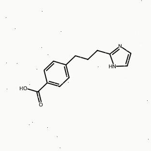 O=C(O)c1ccc(CCCc2ncc[nH]2)cc1